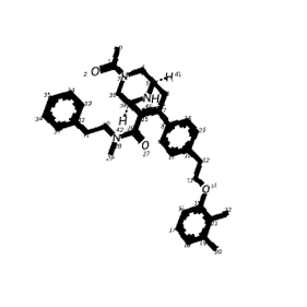 CC(=O)N1C[C@H]2CC(c3ccc(CCOc4cccc(C)c4C)cc3)=C(C(=O)N(C)CCc3ccccc3)[C@@H](C1)N2